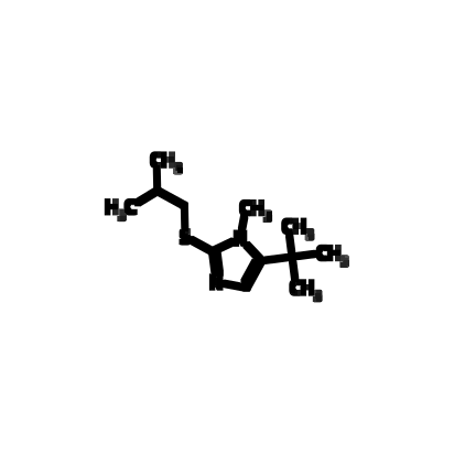 CC(C)CSc1ncc(C(C)(C)C)n1C